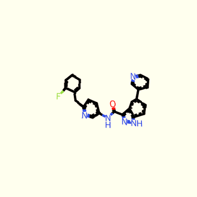 O=C(Nc1ccc(CC2=CCCC=C2F)nc1)c1n[nH]c2ccc(-c3cccnc3)cc12